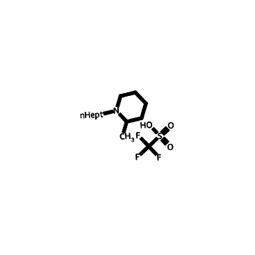 CCCCCCCN1CCCCC1C.O=S(=O)(O)C(F)(F)F